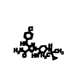 CC(C)(N[C@@H]1CCC(n2cc(C(N)=O)c(Nc3ccc(Cl)cc3)n2)C(=N)C1)C1CC1